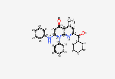 Cc1cc(C(=O)C2CCCCC2)nc2c1c(=O)cc(Nc1ccccc1)n2-c1ccccc1